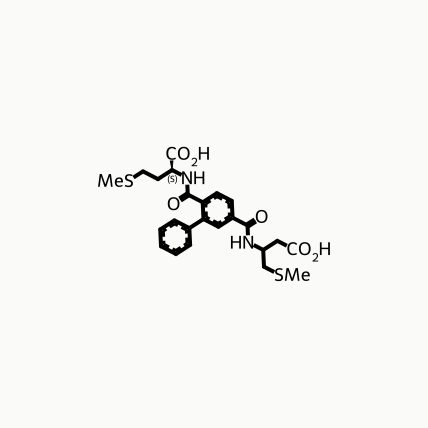 CSCC[C@H](NC(=O)c1ccc(C(=O)NC(CSC)CC(=O)O)cc1-c1ccccc1)C(=O)O